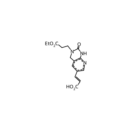 CCOC(=O)CCN1Cc2cc(/C=C/C(=O)O)cnc2NC1=O